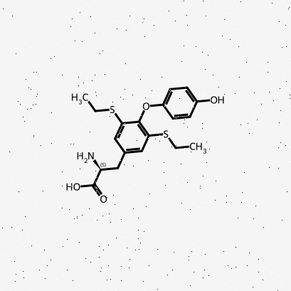 CCSc1cc(C[C@H](N)C(=O)O)cc(SCC)c1Oc1ccc(O)cc1